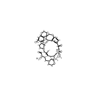 C[C@@H]1[C@@H](C)C/C=C(\F)[C@H](C(=O)N(C)CCN2CCOCC2)N2CCC[C@H]2CN2C[C@@]3(CCOc4cc(Cl)ccc43)COc3ccc(cc32)C(=O)NS1(=O)=O